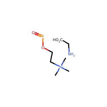 C[N+](C)(C)CCOP=O.NCC(=O)O